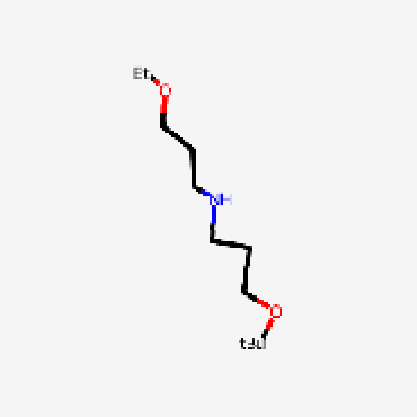 CCOCCCNCCCOC(C)(C)C